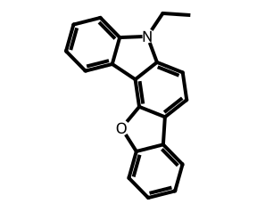 CCn1c2ccccc2c2c3oc4ccccc4c3ccc21